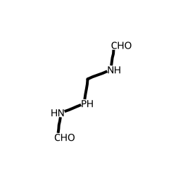 O=CNCPNC=O